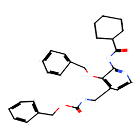 O=C(NCc1ccnc(NC(=O)C2CCCCC2)c1OCc1ccccc1)OCc1ccccc1